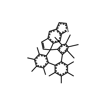 Cc1c(C)c(C)c2c(c1C)-c1c(C)c(C)c(C)c(C)c1C1(C=Cc3cc4ccsc4cc31)c1c(C)c(C)c(C)c(C)c1-2